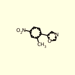 Cc1cc([N+](=O)[O-])ccc1-c1cnco1